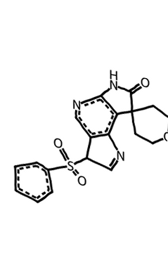 O=C1Nc2ncc3c(c2C12CCOCC2)N=CC3S(=O)(=O)c1ccccc1